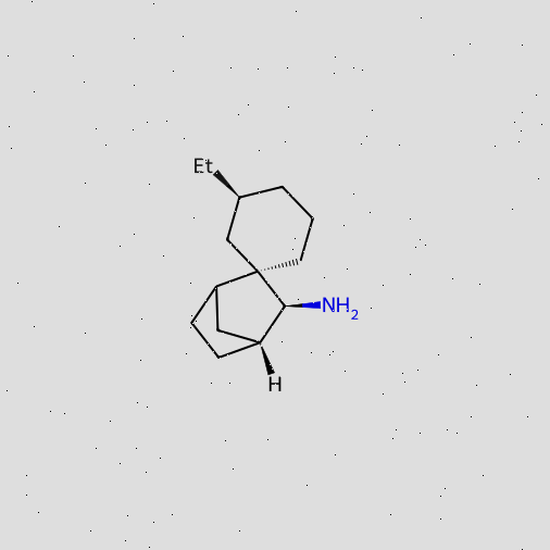 CC[C@H]1CCC[C@@]2(C1)C1CC[C@H](C1)[C@@H]2N